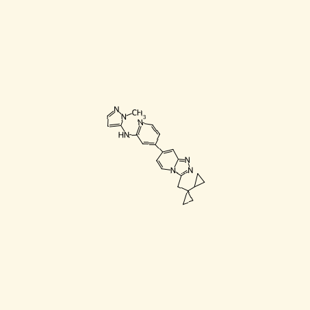 Cn1nccc1Nc1cc(-c2ccn3c(CC4(C5CC5)CC4)nnc3c2)ccn1